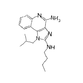 CCCCNc1nc2c(N)nc3ccccc3c2n1CC(C)C